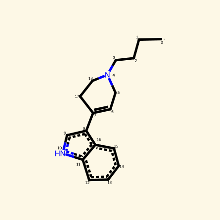 [CH2]CCCN1CC=C(c2c[nH]c3ccccc23)CC1